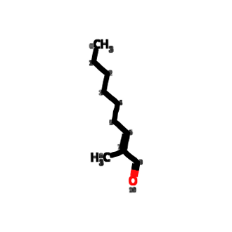 CCCCCC/C=C(\C)C=O